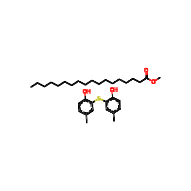 CCCCCCCCCCCCCCCCCC(=O)OC.Cc1ccc(O)c(Sc2cc(C)ccc2O)c1